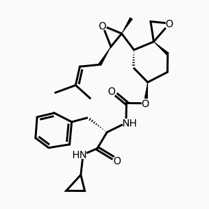 CC(C)=CC[C@H]1O[C@]1(C)[C@H]1C[C@H](OC(=O)N[C@@H](Cc2ccccc2)C(=O)NC2CC2)CC[C@]12CO2